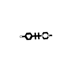 CN1CCN(C(C)(C)C(C)(C)c2ccc(Cl)cc2)CC1